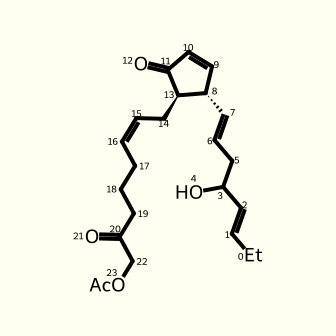 CCC=CC(O)C/C=C/[C@H]1C=CC(=O)[C@@H]1C/C=C\CCCC(=O)COC(C)=O